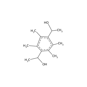 Cc1c(C)c(C(C)O)c(C)c(C)c1C(C)O